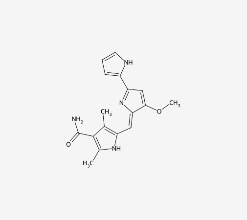 COC1=CC(c2ccc[nH]2)=N/C1=C\c1[nH]c(C)c(C(N)=O)c1C